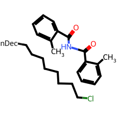 CCCCCCCCCCCCCCCCCCCl.Cc1ccccc1C(=O)NC(=O)c1ccccc1C